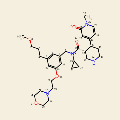 COCCCc1cc(CN(C(=O)[C@H]2CNCC[C@@H]2c2ccn(C)c(=O)c2)C2CC2)cc(OCCN2CCOCC2)c1